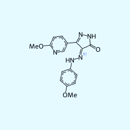 COc1ccc(N/N=C2/C(=O)NN=C2c2ccc(OC)nc2)cc1